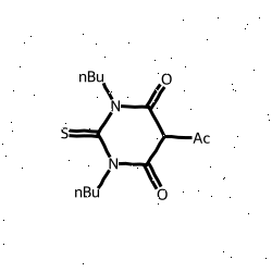 CCCCN1C(=O)C(C(C)=O)C(=O)N(CCCC)C1=S